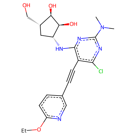 CCOc1ccc(C#Cc2c(Cl)nc(N(C)C)nc2N[C@@H]2C[C@H](CO)[C@@H](O)[C@H]2O)cn1